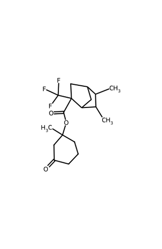 CC1C2CC(C1C)C(C(=O)OC1(C)CCCC(=O)C1)(C(F)(F)F)C2